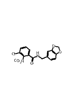 O=C(NCc1ccc2c(c1)OCO2)c1cccc(Cl)c1C(=O)O